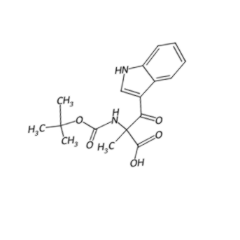 CC(C)(C)OC(=O)NC(C)(C(=O)O)C(=O)c1c[nH]c2ccccc12